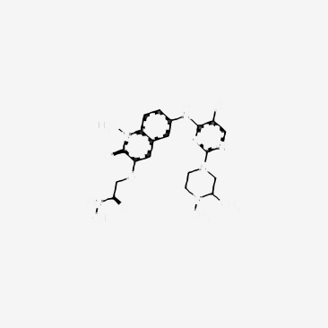 CNC(=O)COc1cc2cc(Nc3nc(N4CCN(C)C(C)C4)ncc3Cl)ccc2n(C)c1=O